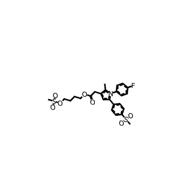 Cc1c(CC(=O)OCCCCOS(C)(=O)=O)cc(-c2ccc(S(C)(=O)=O)cc2)n1-c1ccc(F)cc1